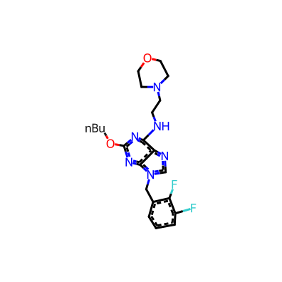 CCCCOc1nc(NCCN2CCOCC2)c2ncn(Cc3cccc(F)c3F)c2n1